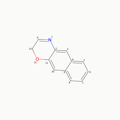 C1=Nc2cc3ccccc3cc2OC1